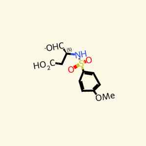 COc1ccc(S(=O)(=O)N[C@H]([C]=O)CC(=O)O)cc1